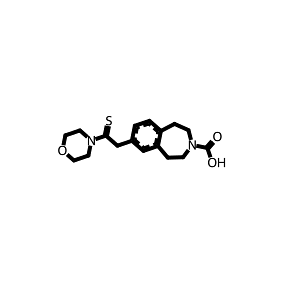 O=C(O)N1CCc2ccc(CC(=S)N3CCOCC3)cc2CC1